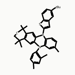 Cc1ccc(N2c3cc(C)ccc3B(c3cc4cc(C(C)(C)C)ccc4s3)c3cc4c(cc32)C(C)(C)CCC4(C)C)c(C)c1